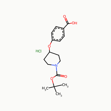 CC(C)(C)OC(=O)N1CCC(Oc2ccc(C(=O)O)cc2)CC1.Cl